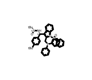 CC(C)(C)c1ccc([C@H](N[S@+]([O-])C(C)(C)C)c2c(CP(c3ccccc3)c3ccccc3)n(S(=O)(=O)c3ccccc3)c3ccccc23)cc1